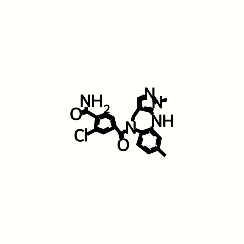 Cc1ccc2c(c1)Nc1c(cnn1C)CN2C(=O)c1ccc(C(N)=O)c(Cl)c1